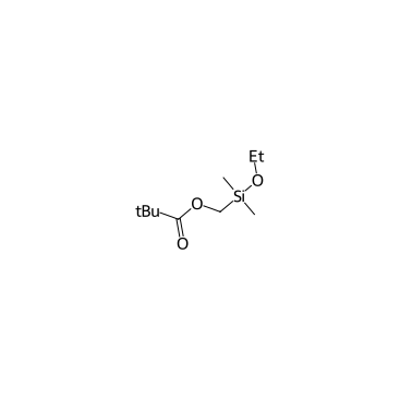 CCO[Si](C)(C)COC(=O)C(C)(C)C